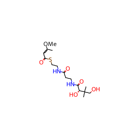 CO/C(C)=C/C(=O)SCCNC(=O)CCNC(=O)[C@H](O)C(C)(C)CO